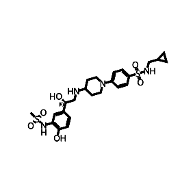 CS(=O)(=O)Nc1cc([C@@H](O)CNC2CCN(c3ccc(S(=O)(=O)NCC4CC4)cc3)CC2)ccc1O